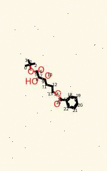 CC(C)(C)OC(=O)[C@@H](O)C(=O)CCCOC(=O)c1ccccc1